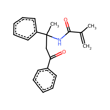 C=C(C)C(=O)NC(C)(CC(=O)c1ccccc1)c1ccccc1